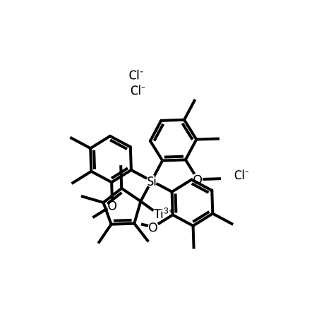 COc1c([Si](c2ccc(C)c(C)c2OC)(c2ccc(C)c(C)c2OC)[C]2([Ti+3])C(C)=C(C)C(C)=C2C)ccc(C)c1C.[Cl-].[Cl-].[Cl-]